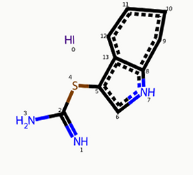 I.N=C(N)Sc1c[nH]c2ccccc12